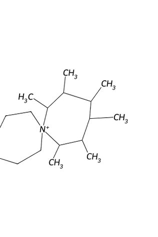 CC1C(C)C(C)C(C)[N+]2(CCCCCC2)C(C)C1C